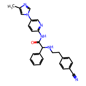 Cc1cn(-c2ccc(NC(=O)C(NCCc3ccc(C#N)cc3)c3ccccc3)nc2)cn1